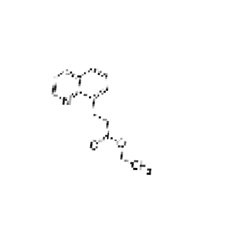 CCOC(=O)CCc1cccc2cccnc12